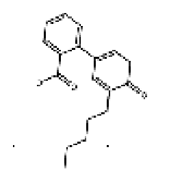 CCCCCC1=CC(c2ccccc2C([O])=O)=CCC1=O